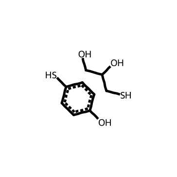 OCC(O)CS.Oc1ccc(S)cc1